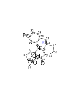 O=C(O)C12C=Cc3nc4c(c(=O)n3C1C2)CCC/C4=C/c1ccc(F)cc1